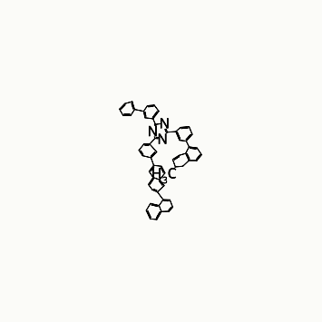 CC1C=Cc2c(cccc2-c2cccc(-c3nc(-c4cccc(-c5ccccc5)c4)nc(-c4cccc(-c5ccc6cc(-c7cccc8ccccc78)ccc6c5)c4)n3)c2)C1